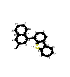 Cc1cc(-c2cccc3c2sc2ccccc23)c2ccccc2c1